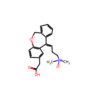 C[N+](C)([O-])CC/C=C1/c2ccccc2COc2ccc(CC(=O)O)cc21